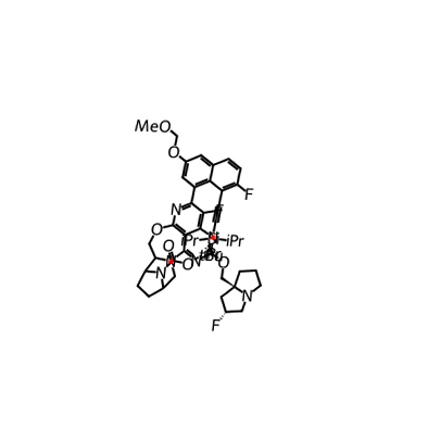 COCOc1cc(-c2nc3c4c(nc(OC[C@@]56CCCN5C[C@H](F)C6)nc4c2F)N2CC4CCC(C2CO3)N4C(=O)OC(C)(C)C)c2c(C#C[Si](C(C)C)(C(C)C)C(C)C)c(F)ccc2c1